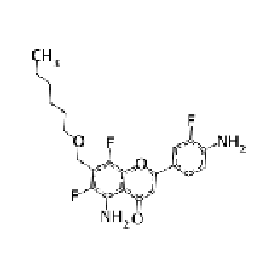 CCCCCCOCc1c(F)c(N)c2c(=O)cc(-c3ccc(N)c(F)c3)oc2c1F